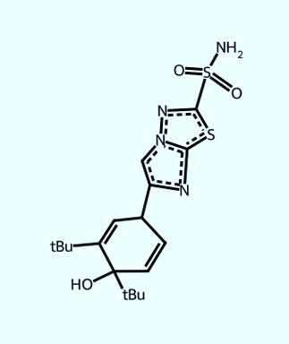 CC(C)(C)C1=CC(c2cn3nc(S(N)(=O)=O)sc3n2)C=CC1(O)C(C)(C)C